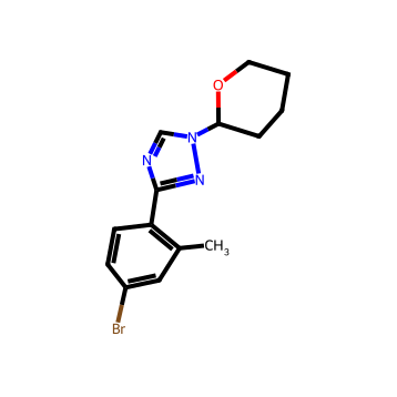 Cc1cc(Br)ccc1-c1ncn(C2CCCCO2)n1